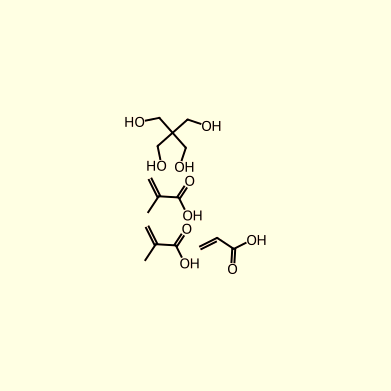 C=C(C)C(=O)O.C=C(C)C(=O)O.C=CC(=O)O.OCC(CO)(CO)CO